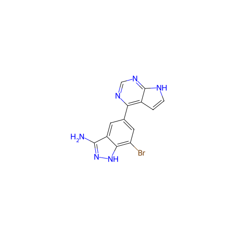 Nc1n[nH]c2c(Br)cc(-c3ncnc4[nH]ccc34)cc12